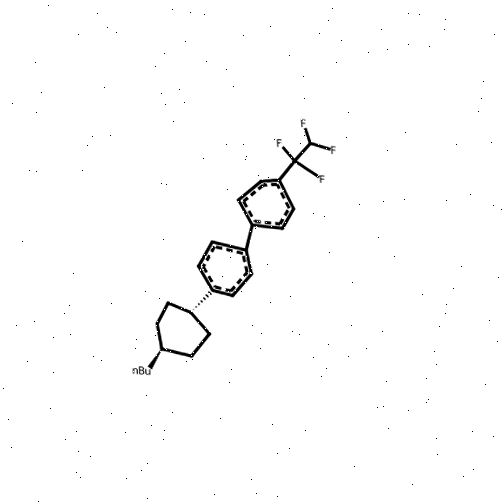 CCCC[C@H]1CC[C@H](c2ccc(-c3ccc(C(F)(F)C(F)F)cc3)cc2)CC1